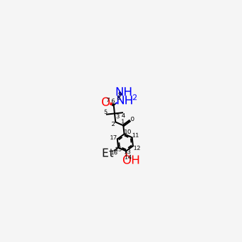 C=C(CC(C)(C)C(=O)NN)c1ccc(O)c(CC)c1